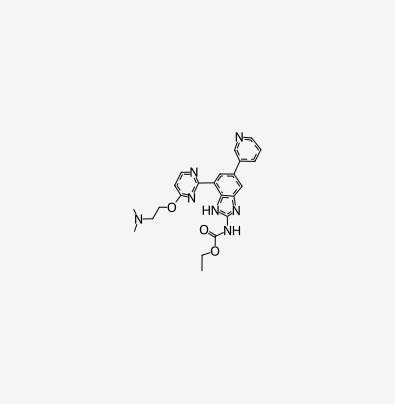 CCOC(=O)Nc1nc2cc(-c3cccnc3)cc(-c3nccc(OCCN(C)C)n3)c2[nH]1